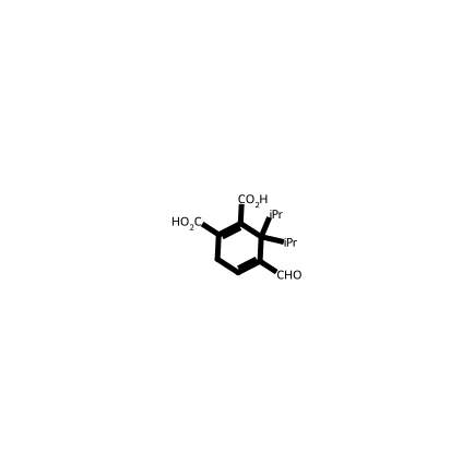 CC(C)C1(C(C)C)C(C=O)=CCC(C(=O)O)=C1C(=O)O